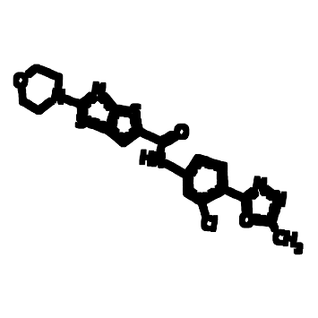 Cc1nnc(-c2ccc(NC(=O)c3cc4sc(N5CCOCC5)nc4s3)cc2Cl)o1